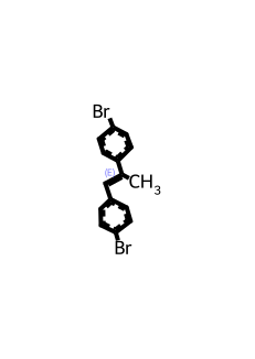 C/C(=C\c1ccc(Br)cc1)c1ccc(Br)cc1